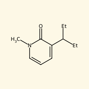 CCC(CC)c1cccn(C)c1=O